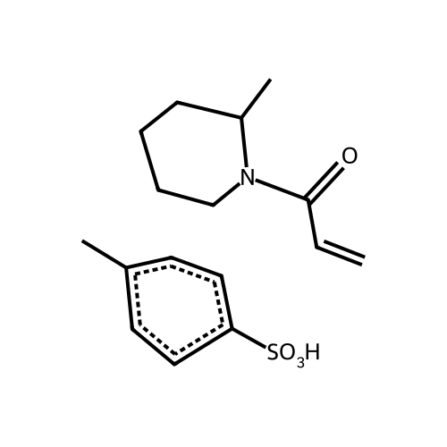 C=CC(=O)N1CCCCC1C.Cc1ccc(S(=O)(=O)O)cc1